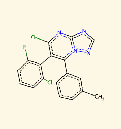 Cc1cccc(-c2c(-c3c(F)cccc3Cl)c(Cl)nc3ncnn23)c1